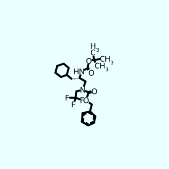 CC(C)(C)OC(=O)N[C@@H](CC1CCCCC1)CN(CC(F)(F)F)C(=O)OCc1ccccc1